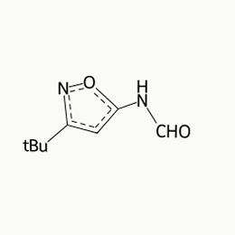 CC(C)(C)c1cc(NC=O)on1